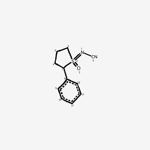 N#CN=S1(=O)CCCC1c1ccccc1